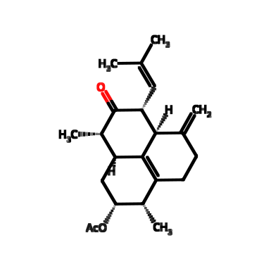 C=C1CCC2=C3[C@H]1[C@@H](C=C(C)C)C(=O)[C@@H](C)[C@@H]3C[C@@H](OC(C)=O)[C@H]2C